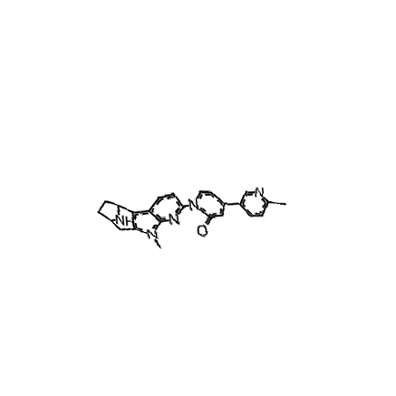 Cc1ccc(-c2ccn(-c3ccc4c5c(n(C)c4n3)CC3CCC5N3)c(=O)c2)cn1